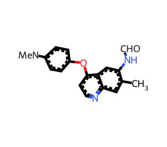 CNc1ccc(Oc2ccnc3cc(C)c(NC=O)cc23)cc1